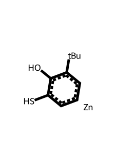 CC(C)(C)c1cccc(S)c1O.[Zn]